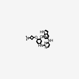 COc1cc(Nc2nccc(Nc3cnc4[nH]ccc4c3)n2)ccc1OC1CC(N(C)C)C1